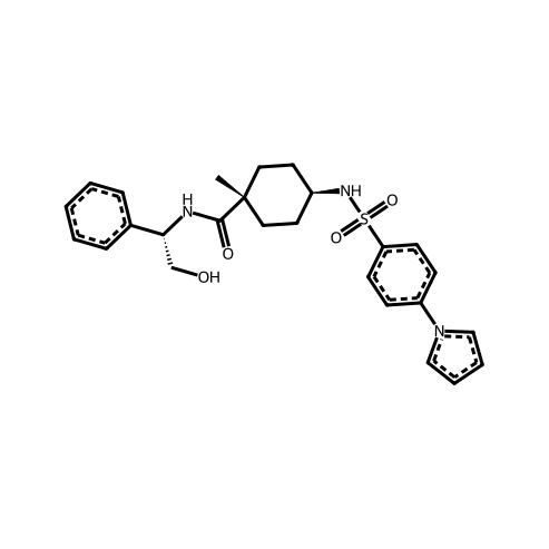 C[C@]1(C(=O)N[C@H](CO)c2ccccc2)CC[C@H](NS(=O)(=O)c2ccc(-n3cccc3)cc2)CC1